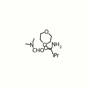 C1COCCO1.CC(C)C(N)=O.CN(C)C=O